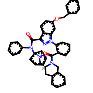 NC[C@@H]1Cc2ccccc2CN1C(=O)c1ccccc1-n1nc(C(=O)N(c2ccccc2)c2ccccc2)c2ccc(OCc3ccccc3)cc21